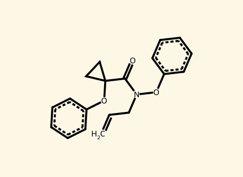 C=CCN(Oc1ccccc1)C(=O)C1(Oc2ccccc2)CC1